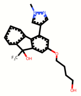 Cn1cc(-c2cc(OCCCCO)cc3c2-c2ccccc2C3(O)C(F)(F)F)cn1